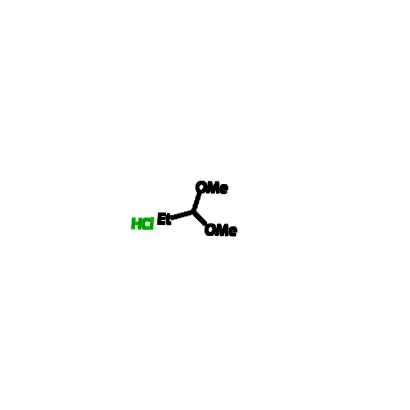 CCC(OC)OC.Cl